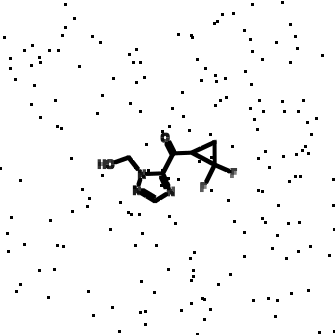 O=C(c1ncnn1CO)C1CC1(F)F